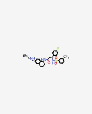 CC(C)(C)CNCc1ccc2c(c1)CCC[C@H]2NC(=O)C[C@H](NS(=O)(=O)c1cccc(C(F)(F)F)c1)c1ccc(F)cc1